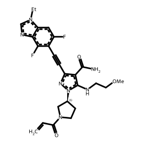 C=CC(=O)N1CC[C@H](n2nc(C#Cc3c(F)cc4c(ncn4CC)c3F)c(C(N)=O)c2NCCOC)C1